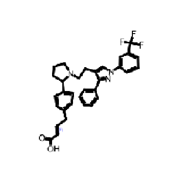 O=C(O)/C=C/Cc1ccc(C2CCCN2CCc2cn(-c3cccc(C(F)(F)F)c3)nc2-c2ccccc2)cc1